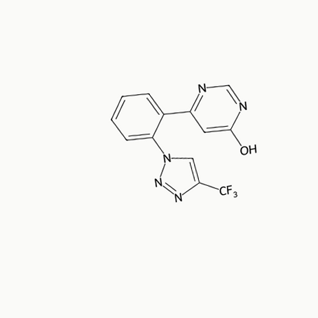 Oc1cc(-c2ccccc2-n2cc(C(F)(F)F)nn2)ncn1